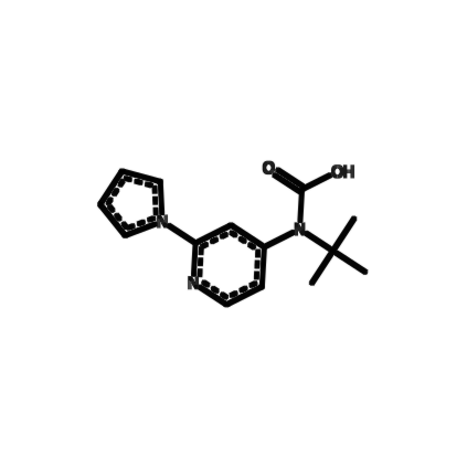 CC(C)(C)N(C(=O)O)c1ccnc(-n2cccc2)c1